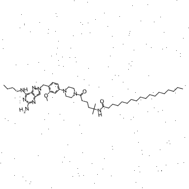 CCCCCCCCCCCCCCCCCC(=O)NC(C)(C)CCCC(=O)N1CCN(c2ccc(Cn3cc4nc(N)nc(NCCCC)c4n3)c(OC)c2)CC1